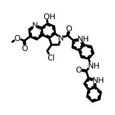 COC(=O)c1cnc2c(O)cc3c(c2c1)C(CCl)CN3C(=O)c1cc2cc(NC(=O)c3cc4ccccc4[nH]3)ccc2[nH]1